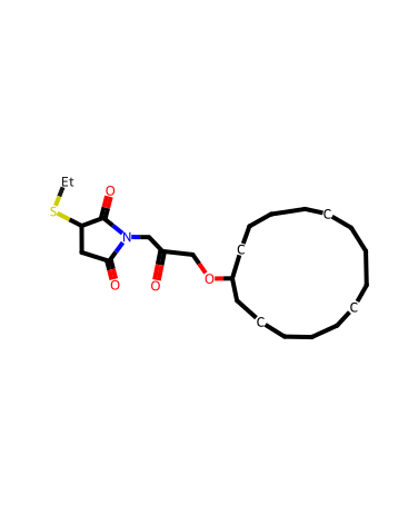 CCSC1CC(=O)N(CC(=O)COC2CCCCCCCCCCCCCC2)C1=O